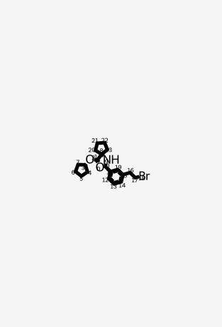 O=C(OC1CCCC1)C1(NCc2cccc(CCBr)c2)CCCC1